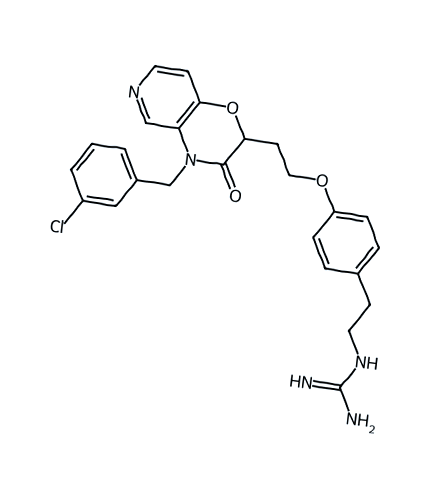 N=C(N)NCCc1ccc(OCCC2Oc3ccncc3N(Cc3cccc(Cl)c3)C2=O)cc1